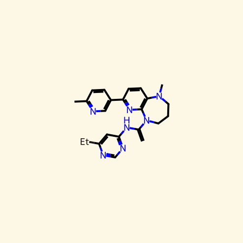 C=C(Nc1cc(CC)ncn1)N1CCCN(C)c2ccc(-c3ccc(C)nc3)nc21